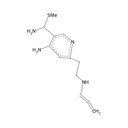 C=C=CNCCc1cc(N)c(C(N)SC)cn1